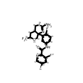 NC1=NC2(c3cc(NC(=O)c4ncc(F)cc4F)ccc3F)COC(C(F)(F)F)CC2CS1